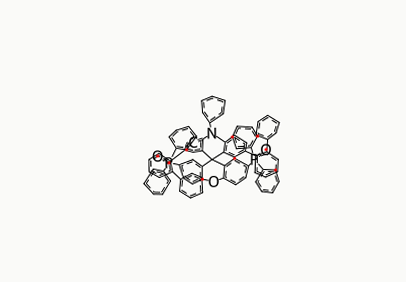 O=P(c1ccccc1)(c1ccccc1)c1ccc2c(c1)C1(c3cc(P(=O)(c4ccccc4)c4ccccc4)ccc3O2)c2cc(-c3ccccc3-c3ccccc3)ccc2N(c2ccccc2)c2ccc(-c3ccccc3-c3ccccc3)cc21